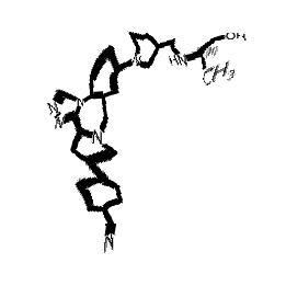 C[C@H](CO)NCC1CCN(c2ccc3c(c2)Cn2cc(-c4ccc(C#N)cc4)cc2-c2nncn2-3)C1